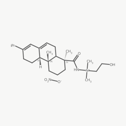 CC(C)C1=CC2=CCC3[C@](C)(CCC[C@]3(C)C(=O)N[N+](C)(C)CCO)[C@@H]2CC1.O=[N+]([O-])[O-]